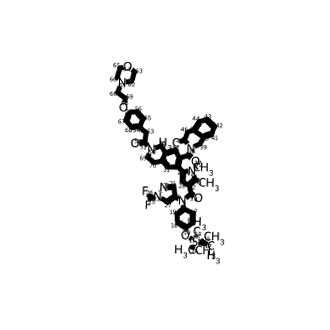 Cc1c(C(=O)N(c2ccc(O[Si](C)(C)C(C)(C)C)cc2)c2cnn(C(F)F)c2)cc(-c2cc3c(cc2C(=O)N2Cc4ccccc4CC2C)CN(C(=O)Cc2ccc(OCCN4CCOCC4)cc2)CC3)n1C